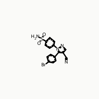 N#Cc1cnn(-c2ccc(S(N)(=O)=O)cc2)c1-c1ccc(Br)cc1